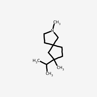 CC(C)C1(C)CCC2(CCN(C)C2)C1